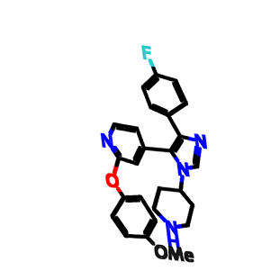 COc1ccc(Oc2cc(-c3c(-c4ccc(F)cc4)ncn3C3CCNCC3)ccn2)cc1